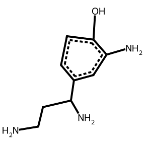 NCCC(N)c1ccc(O)c(N)c1